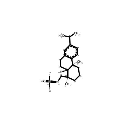 CC(C)c1ccc2c(c1)CC[C@H]1[C@](C)(CN=S(=O)(F)F)CCC[C@]21C